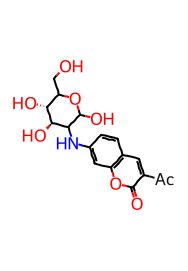 CC(=O)c1cc2ccc(NC3C(O)OC(CO)[C@@H](O)[C@@H]3O)cc2oc1=O